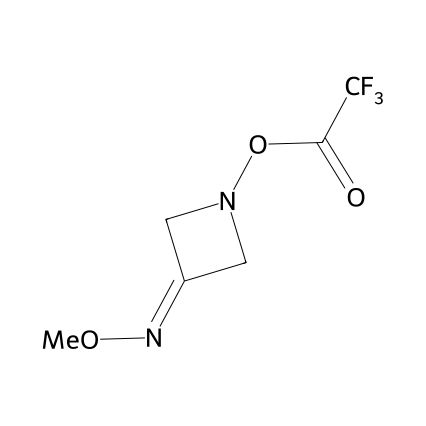 CON=C1CN(OC(=O)C(F)(F)F)C1